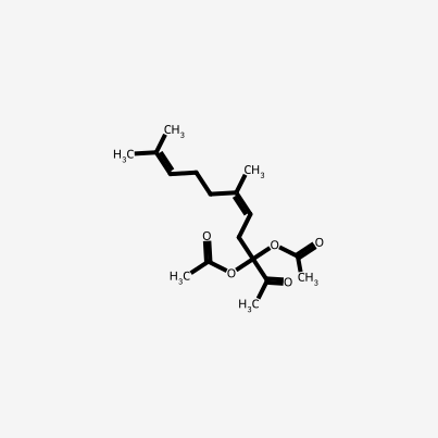 CC(=O)OC(CC=C(C)CCC=C(C)C)(OC(C)=O)C(C)=O